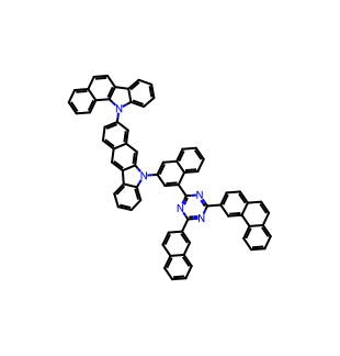 c1ccc2cc(-c3nc(-c4ccc5ccc6ccccc6c5c4)nc(-c4cc(-n5c6ccccc6c6cc7ccc(-n8c9ccccc9c9ccc%10ccccc%10c98)cc7cc65)cc5ccccc45)n3)ccc2c1